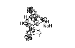 CC1(C)C(=CC=C(Br)C=CC2=[N+](CCCS(=O)(=O)O)c3ccc(S(=O)(=O)[O-])cc3C2(C)C)N(CCCS(=O)(=O)O)c2ccc(S(=O)(=O)O)cc21.[NaH]